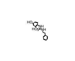 Oc1ccc(NC(=S)NCCc2ccccc2)c(O)c1